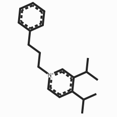 CC(C)c1cc[n+](CCCc2ccccc2)cc1C(C)C